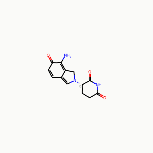 NC1=C2CN([C@H]3CCC(=O)NC3=O)C=C2C=CC1=O